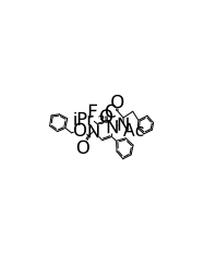 CC(=O)N(C(Cc1ccccc1)C(=O)C(F)(F)F)N1C(=O)C(C(C)C)N(C(=O)OCc2ccccc2)C=C1c1ccccc1